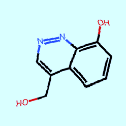 OCc1cnnc2c(O)cccc12